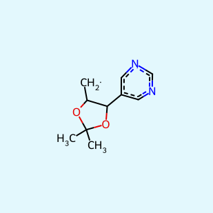 [CH2]C1OC(C)(C)OC1c1cncnc1